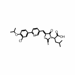 CC(C)CC(C(=O)O)N1C(=O)C(=Cc2ccc(-c3ccc(OC(C)C)c(Cl)c3)nc2)SC1=S